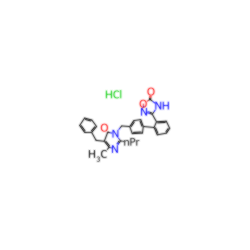 CCCc1nc(C)c(Cc2ccccc2)c(=O)n1Cc1ccc(-c2ccccc2-c2noc(=O)[nH]2)cc1.Cl